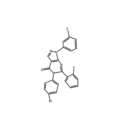 O=c1c2cnn(-c3cccc(F)c3)c2nc(-c2ccccc2F)n1-c1ccc(Br)cc1